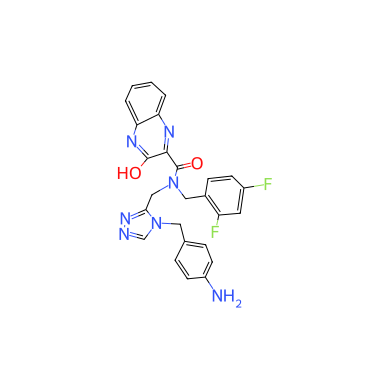 Nc1ccc(Cn2cnnc2CN(Cc2ccc(F)cc2F)C(=O)c2nc3ccccc3nc2O)cc1